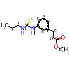 CCCNC(=S)Nc1cccc(CCC(=O)OC)c1